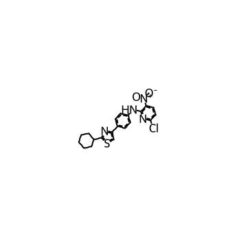 O=[N+]([O-])c1ccc(Cl)nc1Nc1ccc(-c2csc(C3CCCCC3)n2)cc1